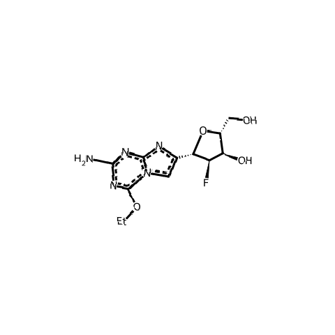 CCOc1nc(N)nc2nc([C@@H]3O[C@H](CO)[C@@H](O)[C@H]3F)cn12